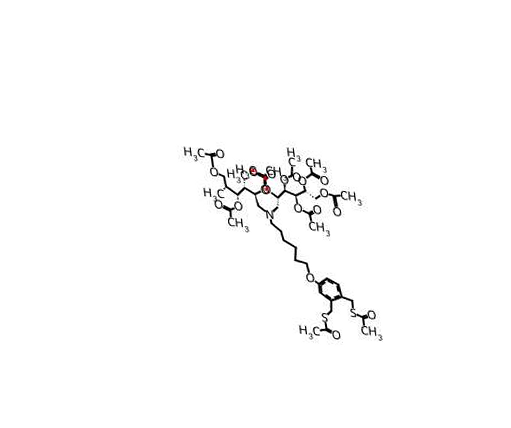 CC(=O)OC[C@@H](C)[C@@H](OC(C)=O)[C@H](C)[C@H](CN(CCCCCCOc1ccc(CSC(C)=O)c(CSC(C)=O)c1)C[C@H](OC(C)=O)[C@@H](OC(C)=O)[C@H](OC(C)=O)[C@@H](COC(C)=O)OC(C)=O)OC(C)=O